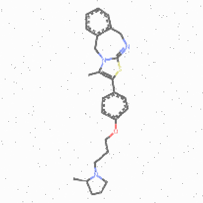 CC1=C(c2ccc(OCCCN3CCC[C@H]3C)cc2)SC2=NCc3ccccc3CN21